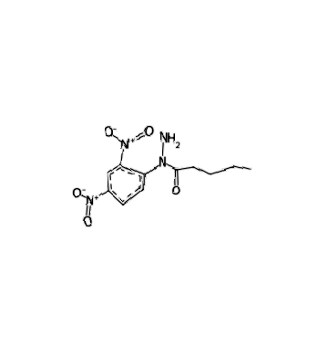 CCCCC(=O)N(N)c1ccc([N+](=O)[O-])cc1[N+](=O)[O-]